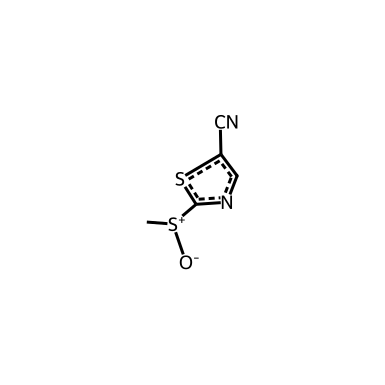 C[S+]([O-])c1ncc(C#N)s1